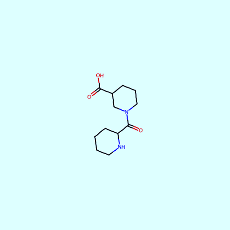 O=C(O)C1CCCN(C(=O)C2CCCCN2)C1